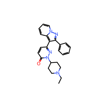 CCN1CCC(n2nc(-c3c(-c4ccccc4)nn4ccccc34)ccc2=O)CC1